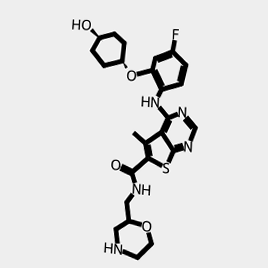 Cc1c(C(=O)NCC2CNCCO2)sc2ncnc(Nc3ccc(F)cc3O[C@H]3CC[C@H](O)CC3)c12